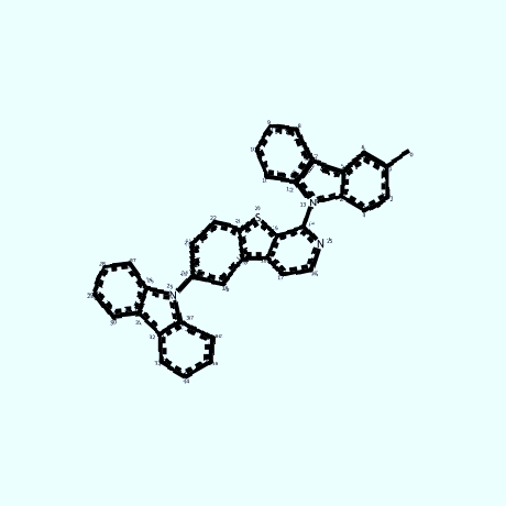 Cc1ccc2c(c1)c1ccccc1n2-c1nccc2c1sc1ccc(-n3c4ccccc4c4ccccc43)cc12